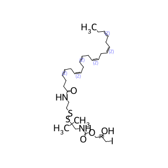 CC/C=C\C/C=C\C/C=C\C/C=C\C/C=C\C/C=C\CCC(=O)NCCSSC(C)(C)CNC(=O)OC[C@@H](O)CI